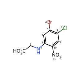 O=C(O)CNc1cc(Br)c(Cl)cc1[N+](=O)[O-]